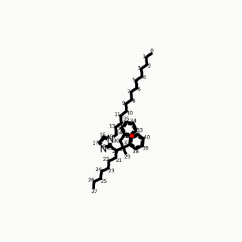 CCCCCCCCCCCCCCCn1ccnc1C(CCCCCCC)C(C)(Cc1ccccc1)c1ccccc1